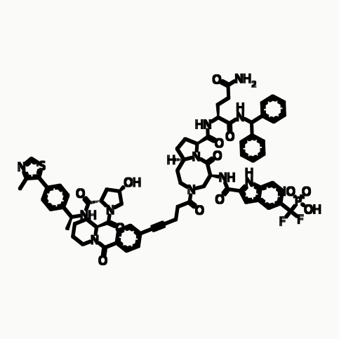 Cc1ncsc1-c1ccc([C@H](C)NC(=O)[C@@H]2C[C@@H](O)CN2C(=O)[C@@H]2CCCCN2C(=O)c2ccc(C#CCCC(=O)N3CC[C@H]4CC[C@@H](C(=O)N[C@@H](CCC(N)=O)C(=O)NC(c5ccccc5)c5ccccc5)N4C(=O)[C@@H](NC(=O)c4cc5cc(C(F)(F)P(=O)(O)O)ccc5[nH]4)C3)cc2)cc1